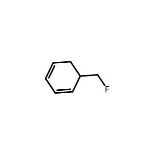 FCC1C=CC=CC1